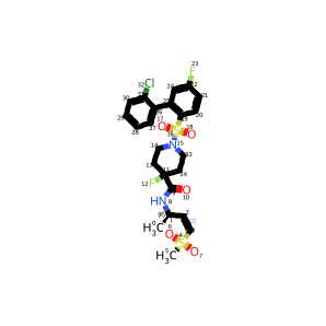 C[C@H](/C=C\S(C)(=O)=O)NC(=O)C1(F)CCN(S(=O)(=O)c2ccc(F)cc2-c2ccccc2Cl)CC1